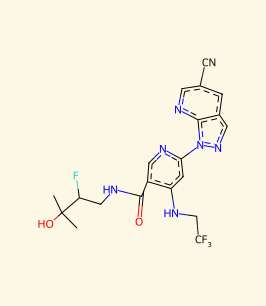 CC(C)(O)C(F)CNC(=O)c1cnc(-n2ncc3cc(C#N)cnc32)cc1NCC(F)(F)F